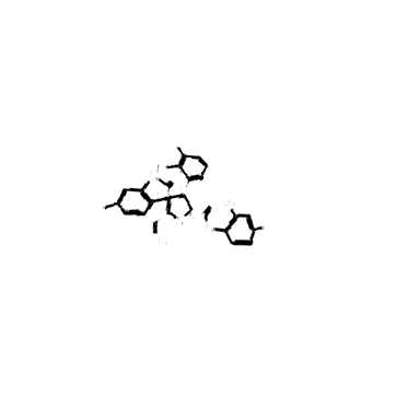 COc1cc(C(=O)O)ccc1NC(=O)[C@@H]1N[C@@H](CC(C)(C)C)[C@@]2(C(=O)Nc3cc(Cl)ccc32)[C@H]1c1cccc(Cl)c1F